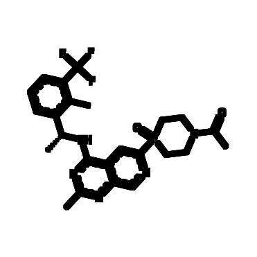 CC(=O)N1CCP(=O)(c2cc3c(N[C@H](C)c4cccc(C(F)(F)F)c4C)nc(C)nc3cn2)CC1